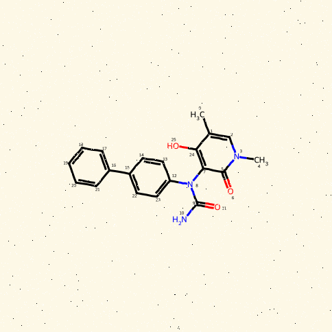 Cc1cn(C)c(=O)c(N(C(N)=O)c2ccc(-c3ccccc3)cc2)c1O